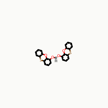 B(Oc1cccc2c1Oc1ccccc1S2)Oc1cccc2c1Oc1ccccc1S2